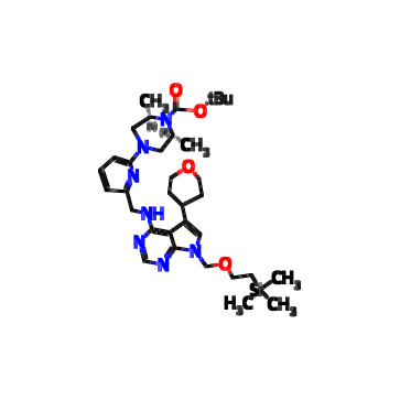 C[C@@H]1CN(c2cccc(CNc3ncnc4c3c(C3CCOCC3)cn4COCC[Si](C)(C)C)n2)C[C@H](C)N1C(=O)OC(C)(C)C